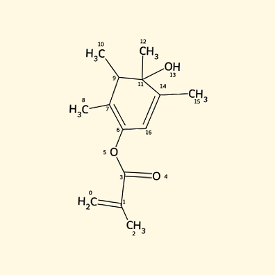 C=C(C)C(=O)OC1=C(C)C(C)C(C)(O)C(C)=C1